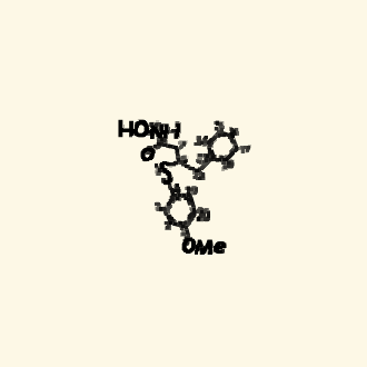 COc1ccc(SC(CC(=O)NO)Cc2ccccc2)cc1